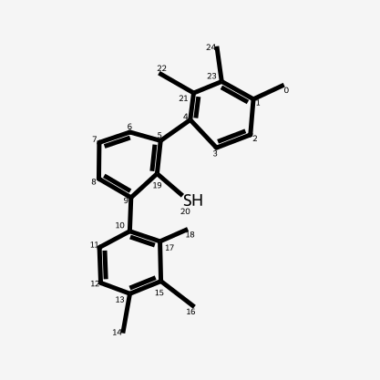 Cc1ccc(-c2cccc(-c3ccc(C)c(C)c3C)c2S)c(C)c1C